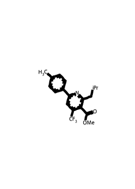 COC(=O)c1c(C(F)(F)F)cc(-c2ccc(C)cc2)nc1CC(C)C